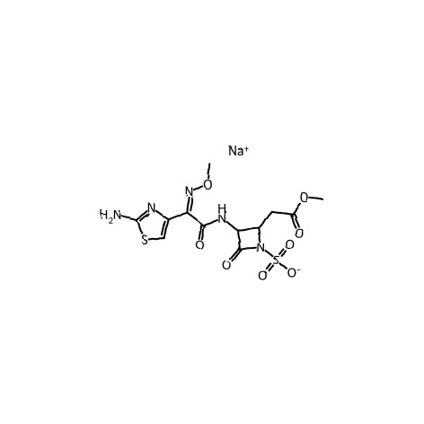 CON=C(C(=O)NC1C(=O)N(S(=O)(=O)[O-])C1CC(=O)OC)c1csc(N)n1.[Na+]